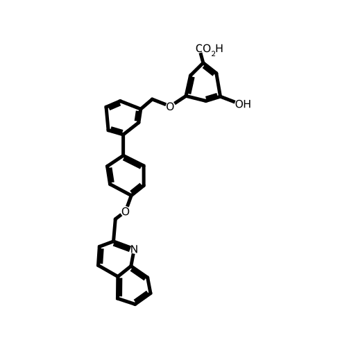 O=C(O)c1cc(O)cc(OCc2cccc(-c3ccc(OCc4ccc5ccccc5n4)cc3)c2)c1